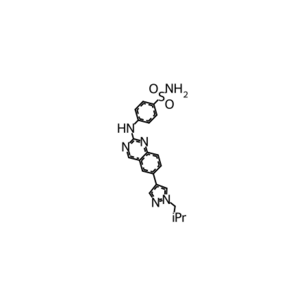 CC(C)Cn1cc(-c2ccc3nc(Nc4ccc(S(N)(=O)=O)cc4)ncc3c2)cn1